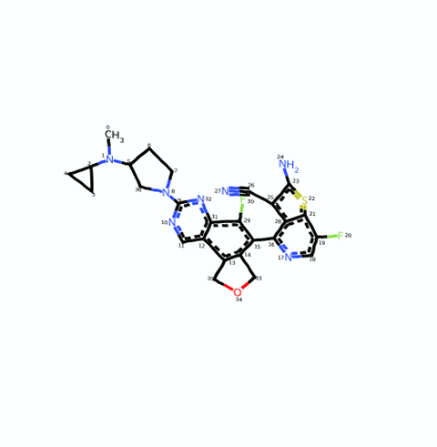 CN(C1CC1)C1CCN(c2ncc3c4c(c(-c5ncc(F)c6sc(N)c(C#N)c56)c(F)c3n2)COC4)C1